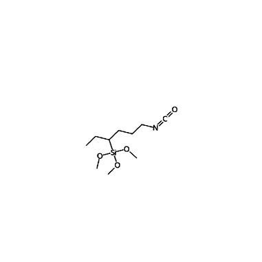 CCC(CCCN=C=O)[Si](OC)(OC)OC